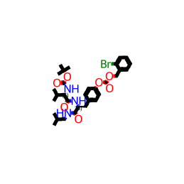 CC(C)CNC(=O)[C@H](Cc1ccc(OC(=O)OCc2ccccc2Br)cc1)NC(=O)[C@@H](NC(=O)OC(C)(C)C)C(C)C